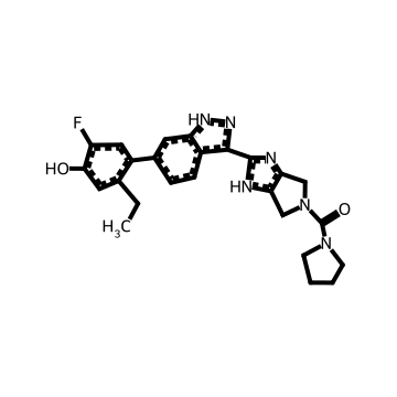 CCc1cc(O)c(F)cc1-c1ccc2c(-c3nc4c([nH]3)CN(C(=O)N3CCCC3)C4)n[nH]c2c1